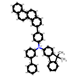 CC1(C)c2ccccc2-c2cc(N(c3ccc(-c4ccc5ccc6c7ccccc7ccc6c5c4)cc3)c3cccc(-c4ccccc4)c3)ccc21